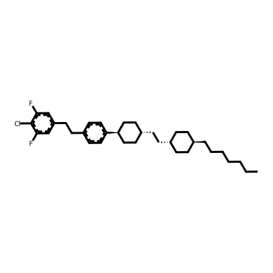 CCCCCCC[C@H]1CC[C@H](CC[C@H]2CC[C@H](c3ccc(CCc4cc(F)c(Cl)c(F)c4)cc3)CC2)CC1